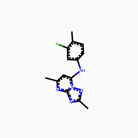 Cc1cc(Nc2ccc(C)c(F)c2)n2nc(C)nc2n1